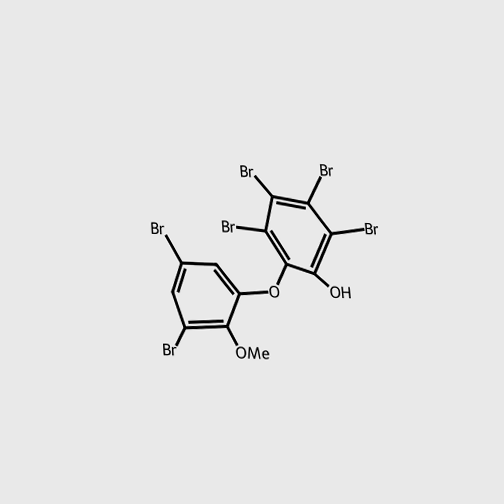 COc1c(Br)cc(Br)cc1Oc1c(O)c(Br)c(Br)c(Br)c1Br